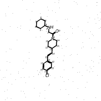 O=C(CNC1CCCCC1)N1CCC(C=Cc2ccc(Cl)cc2)CC1